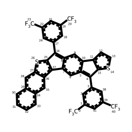 FC(F)(F)c1cc(C2=c3cc4c(cc3-c3ccsc32)=C(c2cc(C(F)(F)F)cc(C(F)(F)F)c2)c2sc3cc5ccccc5cc3c2-4)cc(C(F)(F)F)c1